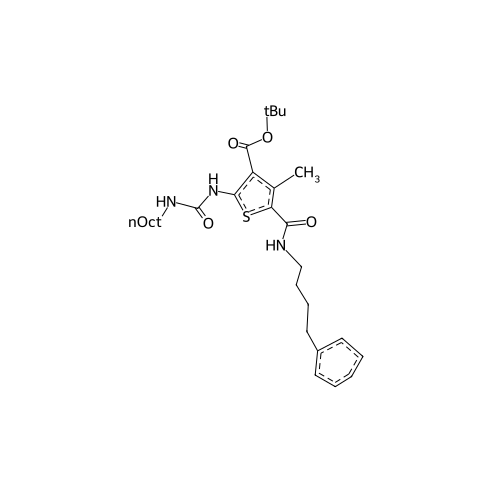 CCCCCCCCNC(=O)Nc1sc(C(=O)NCCCCc2ccccc2)c(C)c1C(=O)OC(C)(C)C